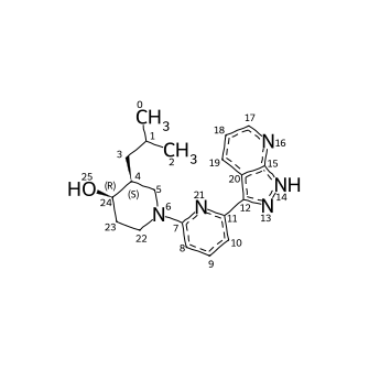 CC(C)C[C@H]1CN(c2cccc(-c3n[nH]c4ncccc34)n2)CC[C@H]1O